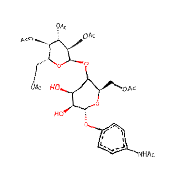 CC(=O)Nc1ccc(O[C@H]2O[C@H](COC(C)=O)C(O[C@H]3O[C@H](COC(C)=O)[C@@H](OC(C)=O)[C@H](OC(C)=O)[C@H]3OC(C)=O)[C@H](O)[C@@H]2O)cc1